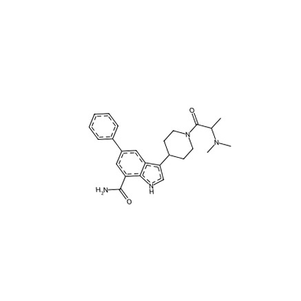 CC(C(=O)N1CCC(c2c[nH]c3c(C(N)=O)cc(-c4ccccc4)cc23)CC1)N(C)C